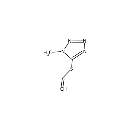 [CH]=CSc1nnnn1C